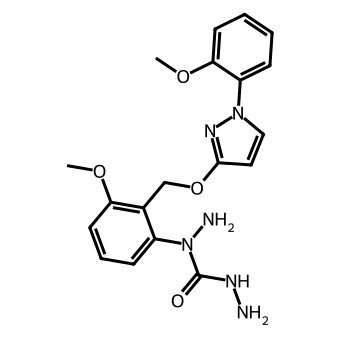 COc1ccccc1-n1ccc(OCc2c(OC)cccc2N(N)C(=O)NN)n1